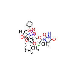 C=CCCOC(=O)[C@H](C)NP(=O)(OCC1OC(n2ccc(=O)[nH]c2=O)[C@](C)(F)[C@@H]1O[Si](CC)(CC)CC)Oc1ccccc1